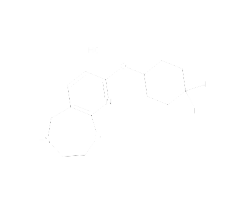 Cl.FC1(F)CCC(Oc2ccc3c(n2)OCCNC3)CC1